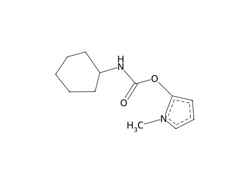 Cn1cccc1OC(=O)NC1CCCCC1